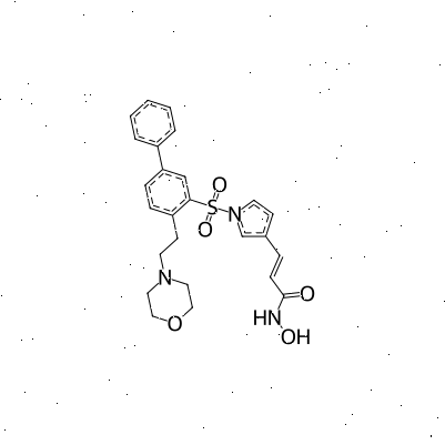 O=C(C=Cc1ccn(S(=O)(=O)c2cc(-c3ccccc3)ccc2CCN2CCOCC2)c1)NO